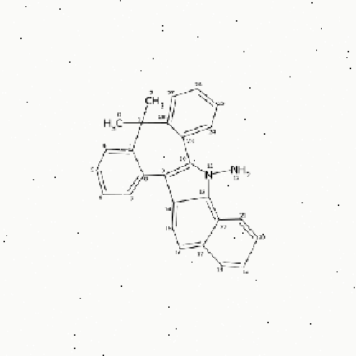 CC1(C)c2ccccc2-c2c(n(N)c3c2ccc2ccccc23)-c2ccccc21